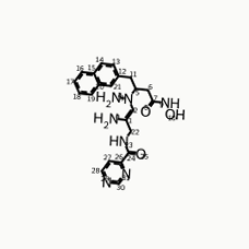 N/C(=C\N(N)C(CC(=O)NO)Cc1ccc2ccccc2c1)CNC(=O)c1ccncn1